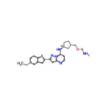 CCc1ccc2sc(-c3cc4nccc(N[C@H]5CCC(COSN)C5)n4n3)cc2c1